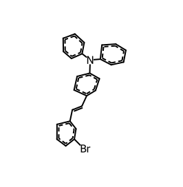 Brc1cccc(C=Cc2ccc(N(c3ccccc3)c3ccccc3)cc2)c1